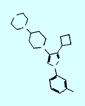 Cc1cccc(-n2cc(N3CCC(N4CCOCC4)CC3)c(C3CCC3)n2)c1